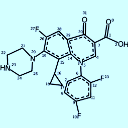 O=C(O)c1cn(-c2ccc(F)cc2F)c2c(C3CC3)c(N3CCNCC3)c(F)cc2c1=O